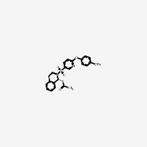 COc1ccc(Oc2ccc(S(=O)(=O)N3CCc4ccccc4[C@H]3OC(N)=O)cn2)cc1